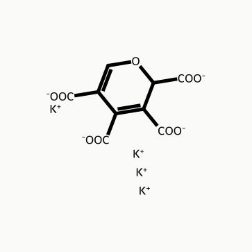 O=C([O-])C1=COC(C(=O)[O-])C(C(=O)[O-])=C1C(=O)[O-].[K+].[K+].[K+].[K+]